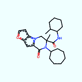 CC1CCCCC1NC(=O)C1(C)Cn2c(cc3occc32)C(=O)N1C1CCCCCC1